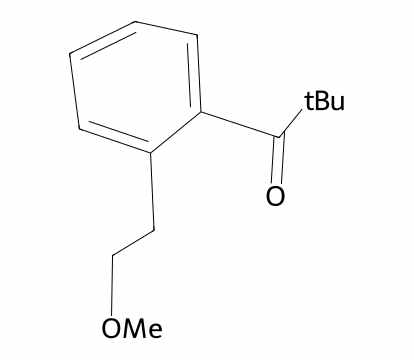 COCCc1ccccc1C(=O)C(C)(C)C